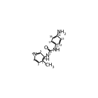 Cc1ccncc1NC(=O)Nc1ccc(N)cc1